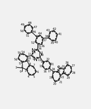 CC1(C)c2ccccc2-c2c(-c3nc(-c4ccc(-c5cccc6c5sc5ccccc56)cc4)nc(-c4cc(-c5ccccc5)cc(-c5ccccc5)c4)n3)cccc21